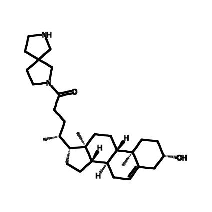 C[C@H](CCC(=O)N1CCC2(CCNC2)C1)[C@H]1CC[C@H]2[C@@H]3CC=C4C[C@@H](O)CC[C@]4(C)[C@H]3CC[C@]12C